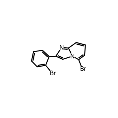 Brc1ccccc1-c1cn2c(Br)cccc2n1